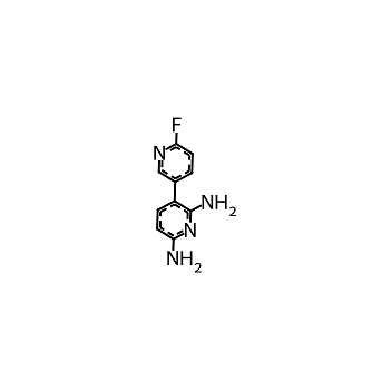 Nc1ccc(-c2ccc(F)nc2)c(N)n1